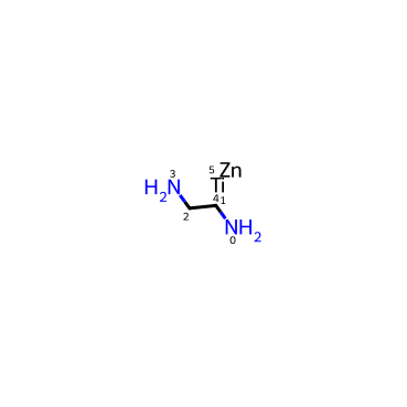 NCCN.[Ti].[Zn]